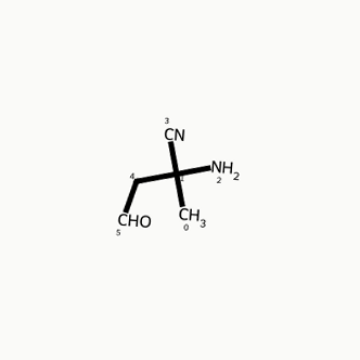 CC(N)(C#N)CC=O